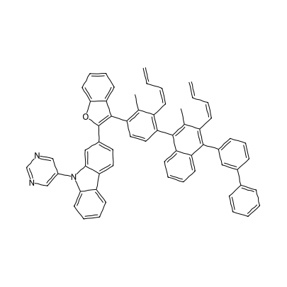 C=C/C=C\c1c(-c2c(C)c(/C=C\C=C)c(-c3cccc(-c4ccccc4)c3)c3ccccc23)ccc(-c2c(-c3ccc4c5ccccc5n(-c5cncnc5)c4c3)oc3ccccc23)c1C